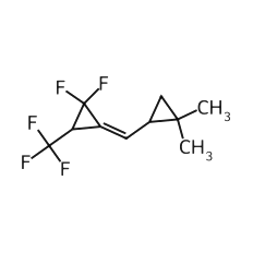 CC1(C)CC1C=C1C(C(F)(F)F)C1(F)F